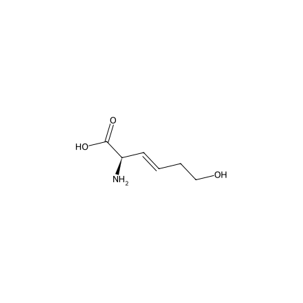 N[C@H](/C=C/CCO)C(=O)O